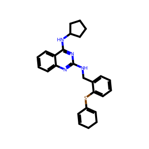 C1=CC(Sc2ccccc2CNc2nc(NC3CCCC3)c3ccccc3n2)=CCC1